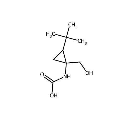 CC(C)(C)C1CC1(CO)NC(=O)O